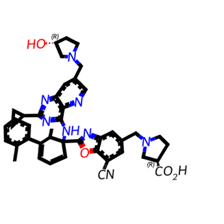 Cc1ccccc1C1=CC=CC(Nc2nc(C3CC3)nc3cc(CN4CC[C@@H](O)C4)cnc23)(c2nc3cc(CN4CC[C@@H](C(=O)O)C4)cc(C#N)c3o2)C1C